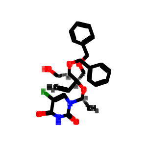 C=C[C@](COCc1ccccc1)(O[C@H](C)n1cc(F)c(=O)[nH]c1=O)[C@H](CO)OCc1ccccc1